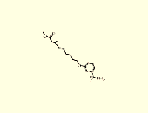 COC(=O)COCCCCCCOc1cccc([C@@H](C)N)c1